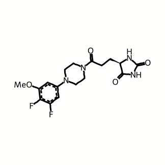 COc1cc(N2CCN(C(=O)CC[C@H]3NC(=O)NC3=O)CC2)cc(F)c1F